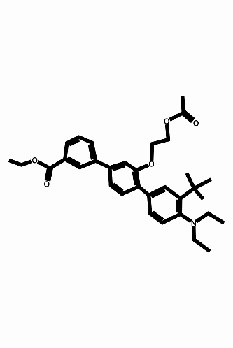 CCOC(=O)c1cccc(-c2ccc(-c3ccc(N(CC)CC)c(C(C)(C)C)c3)c(OCCOC(C)=O)c2)c1